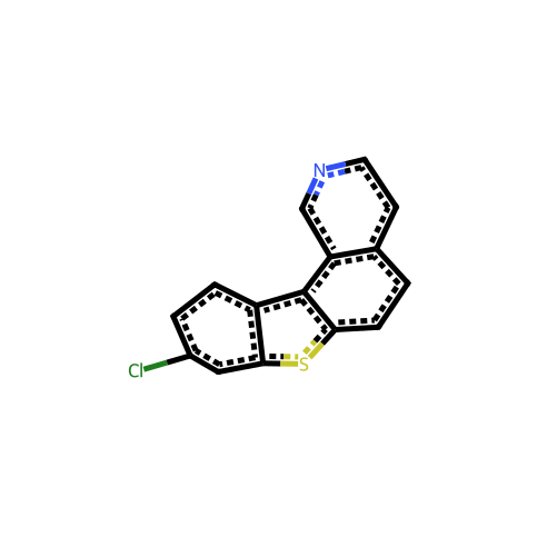 Clc1ccc2c(c1)sc1ccc3ccncc3c12